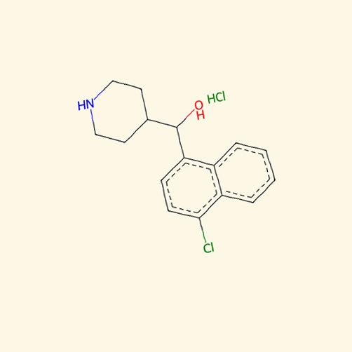 Cl.OC(c1ccc(Cl)c2ccccc12)C1CCNCC1